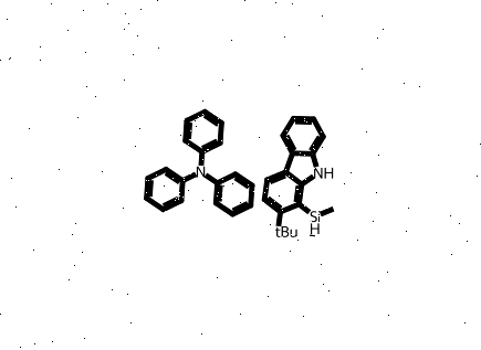 C[SiH](C)c1c(C(C)(C)C)ccc2c1[nH]c1ccccc12.c1ccc(N(c2ccccc2)c2ccccc2)cc1